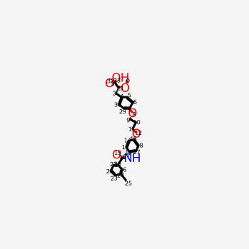 CO[C@@H](Cc1ccc(OCCCOc2ccc(NC(=O)c3cccc(C)c3)cc2)cc1)C(=O)O